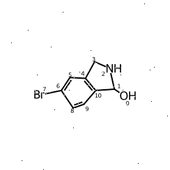 OC1NCc2cc(Br)ccc21